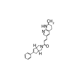 C=C1CCc2cc(/C=C/C(=O)N3C[C@@H]4CC(c5ccccc5)=C[C@@H]4C3)cnc2N1